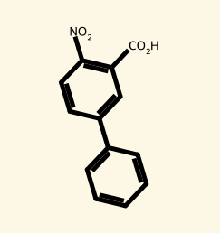 O=C(O)c1cc(-c2ccccc2)ccc1[N+](=O)[O-]